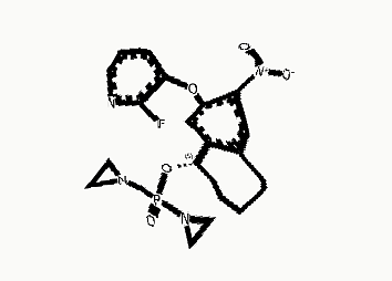 O=[N+]([O-])c1cc2c(cc1Oc1cccnc1F)[C@@H](OP(=O)(N1CC1)N1CC1)CCC2